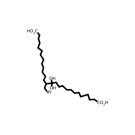 CC(C)CC(CCCCCCCCCCCCC(=O)O)C(O)(O)CCCCCCCCCCCC(=O)O